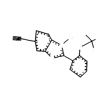 N#Cc1ccc2c(c1)nc(-c1ccccc1OC(F)(F)F)n2N